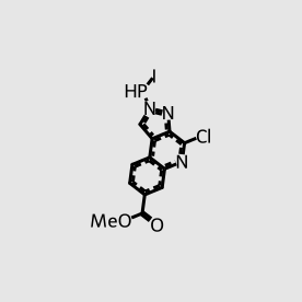 COC(=O)c1ccc2c(c1)nc(Cl)c1nn(PI)cc12